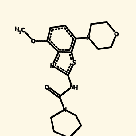 COc1ccc(N2CCOCC2)c2sc(NC(=O)N3CCCCC3)nc12